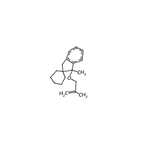 C=C(C)COC1(C)c2ccccc2CC12CCCCC2